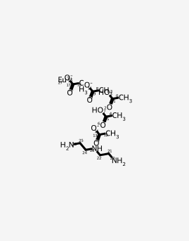 CC(=O)O.CC(=O)O.CC(=O)[O-].CC(=O)[O-].CC(=O)[O-].NCCNCCN.[Eu+3]